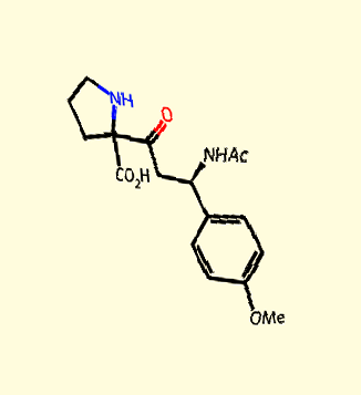 COc1ccc([C@@H](CC(=O)C2(C(=O)O)CCCN2)NC(C)=O)cc1